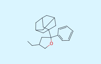 CCC1COC(c2ccccc2)(C23CC4CC(CC(C4)C2)C3)C1